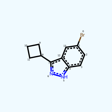 Brc1ccc2[nH]nc(C3CCC3)c2c1